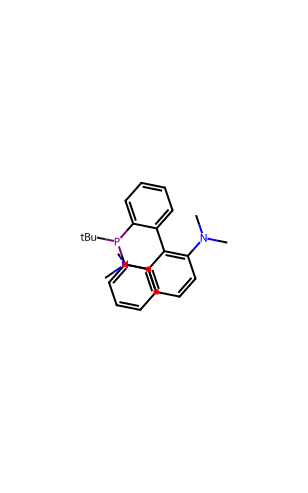 CN(C)c1cccc(N(C)C)c1-c1ccccc1P(c1ccccc1)C(C)(C)C